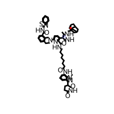 C/C(NCC12CC3CC(CC(C3)C1)C2)=C(/C=N)c1ccc(N2CCc3cccc(C(=O)Nc4nc5ccccc5s4)c3C2)nc1C(=O)NCCCCCCCC(=O)Nc1cccc2c(C3CCC(=O)NC3=O)nn(C)c12